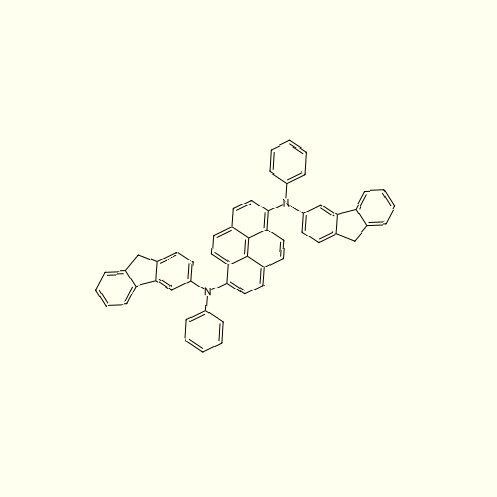 c1ccc(N(c2ccc3c(c2)-c2ccccc2C3)c2ccc3ccc4c(N(c5ccccc5)c5ccc6c(c5)-c5ccccc5C6)ccc5ccc2c3c54)cc1